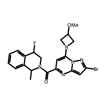 COC1CN(c2cc(C(=O)N3CC(F)c4ccccc4C3C)nc3cc(Br)nn23)C1